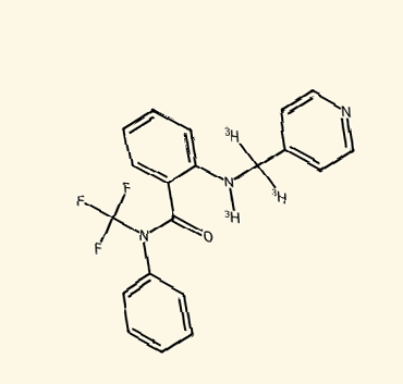 [3H]N(c1ccccc1C(=O)N(c1ccccc1)C(F)(F)F)C([3H])([3H])c1ccncc1